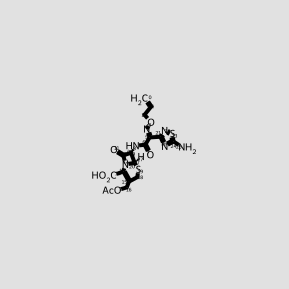 C=CCON=C(C(=O)N[C@@H]1C(=O)N2C(C(=O)O)=C(COC(C)=O)CS[C@H]12)c1nsc(N)n1